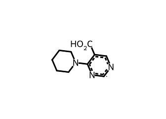 O=C(O)c1cn[c]nc1N1CCCCC1